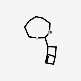 C1=C2C(C1)CC2C1CCCCCCCN1